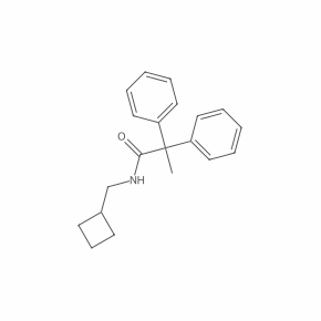 CC(C(=O)NCC1CCC1)(c1ccccc1)c1ccccc1